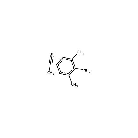 CC#N.Cc1cccc(C)c1N